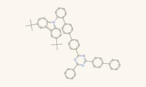 CC(C)(C)c1ccc2c(c1)c1cc(C(C)(C)C)ccc1n2-c1ccccc1-c1ccc(-c2ccc(-c3nc(-c4ccccc4)nc(-c4ccc(-c5ccccc5)cc4)n3)cc2)cc1